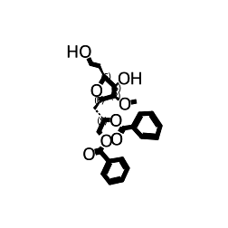 CO[C@@H]1[C@@H](O)[C@H](CCO)O[C@@H]1C[C@@H](COC(=O)c1ccccc1)OC(=O)c1ccccc1